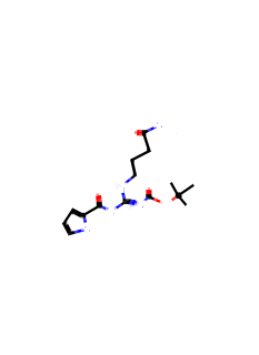 CC(C)(C)OC(=O)/N=C(\NCCCC(N)=O)NC(=O)c1ccc[nH]1